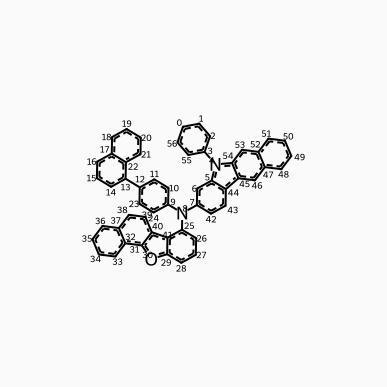 c1ccc(-n2c3cc(N(c4ccc(-c5cccc6ccccc56)cc4)c4cccc5oc6c7ccccc7ccc6c45)ccc3c3cc4ccccc4cc32)cc1